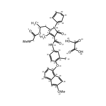 CNCC(=O)OC(C)Cn1c(C)c(C(=O)Nc2ccc(Oc3ccnc4cc(OC)ccc34)c(F)c2)c(=O)n1-c1ccccc1.O=C(O)C(=O)O